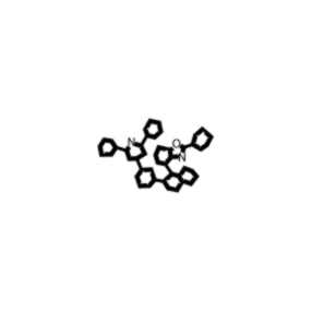 c1ccc(-c2cc(-c3cccc(-c4ccc5ccccc5c4-c4cccc5oc(-c6ccccc6)nc45)c3)cc(-c3ccccc3)n2)cc1